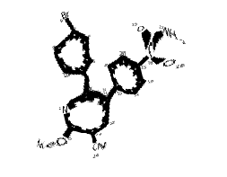 COc1nc(-c2ccc(Br)cc2)c(-c2ccc(S(N)(=O)=O)cc2)cc1C#N